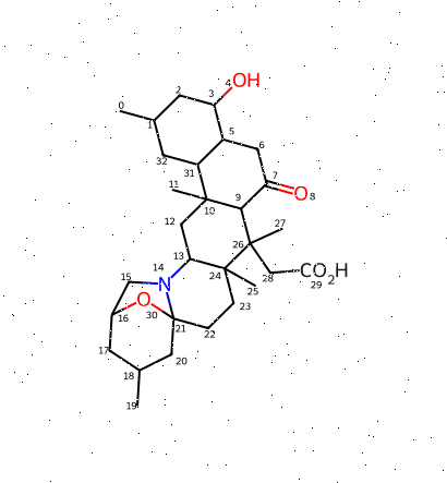 CC1CC(O)C2CC(=O)C3C(C)(CC4N5CC6CC(C)CC5(CCC4(C)C3(C)CC(=O)O)O6)C2C1